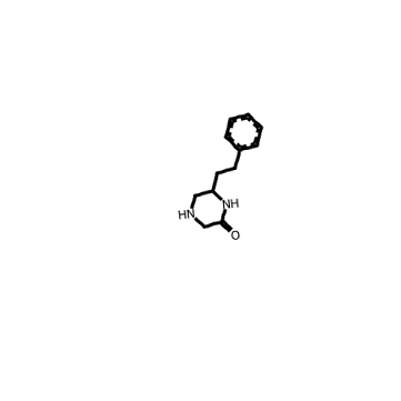 O=C1CNCC(CCc2ccccc2)N1